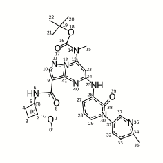 CO[C@@H]1CC[C@H]1NC(=O)c1cnn2c(N(C)C(=O)OC(C)(C)C)cc(Nc3cccn(-c4ccc(C)nc4)c3=O)nc12